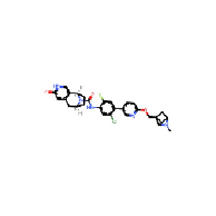 CN1CC2(COc3ccc(-c4cc(F)c(NC(=O)N5[C@H]6CC[C@@H]5c5c[nH]c(=O)cc5C6)cc4Cl)cn3)CC1C2